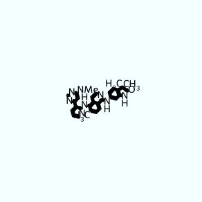 CNc1cc(-c2cccnc2Nc2c(C)ccc3c(Nc4ccc5c(c4)NC(=O)C5(C)C)nccc23)ncn1